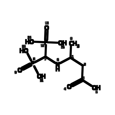 CC(CC(=O)O)NC(P(=O)(O)O)P(=O)(O)O